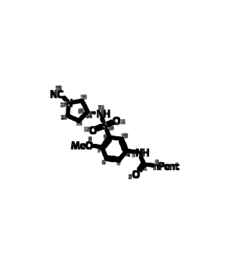 CCCCCC(=O)Nc1ccc(OC)c(S(=O)(=O)N[C@@H]2CCN(C#N)C2)c1